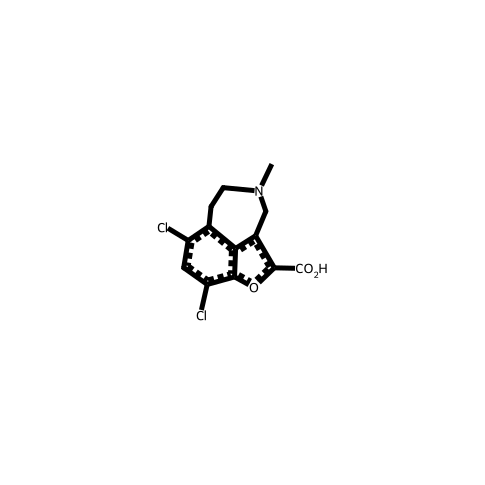 CN1CCc2c(Cl)cc(Cl)c3oc(C(=O)O)c(c23)C1